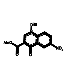 CCCCn1cc(C(=O)OC)c(=O)c2cc([N+](=O)[O-])ccc21